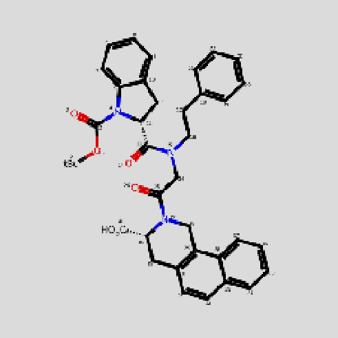 CC(C)(C)OC(=O)N1c2ccccc2C[C@@H]1C(=O)N(CCc1ccccc1)CC(=O)N1Cc2c(ccc3ccccc23)C[C@@H]1C(=O)O